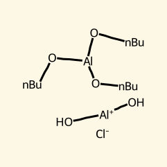 CCCC[O][Al]([O]CCCC)[O]CCCC.[Cl-].[OH][Al+][OH]